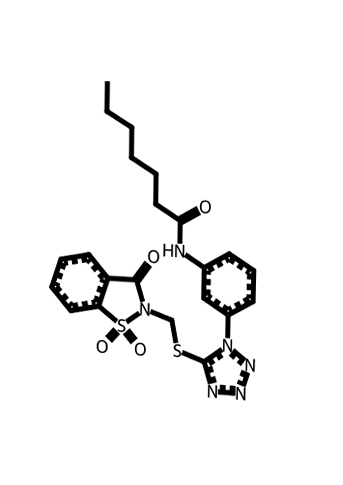 CCCCCCC(=O)Nc1cccc(-n2nnnc2SCN2C(=O)c3ccccc3S2(=O)=O)c1